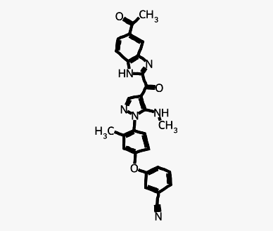 CNc1c(C(=O)c2nc3cc(C(C)=O)ccc3[nH]2)cnn1-c1ccc(Oc2cccc(C#N)c2)cc1C